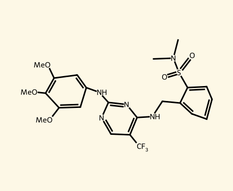 COc1cc(Nc2ncc(C(F)(F)F)c(NCc3ccccc3S(=O)(=O)N(C)C)n2)cc(OC)c1OC